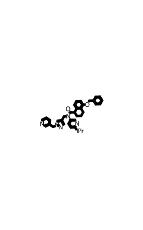 CC(C)c1ccc(N(Cc2cnn(Cc3cccnc3)c2)C(=O)C2CCCc3c(OCc4ccccc4)cccc32)cn1